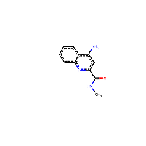 CNC(=O)c1cc(N)c2ccccc2n1